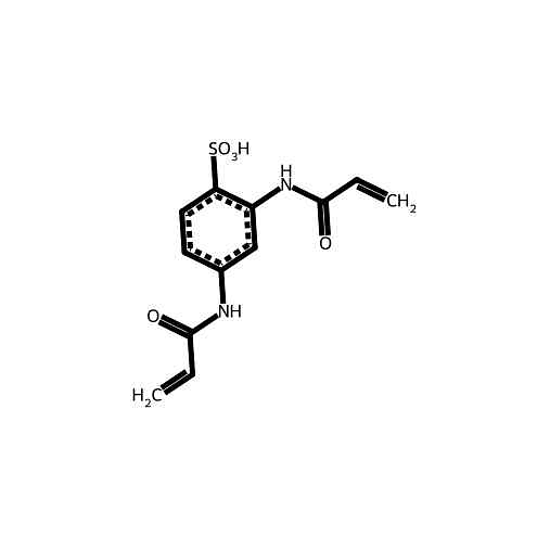 C=CC(=O)Nc1ccc(S(=O)(=O)O)c(NC(=O)C=C)c1